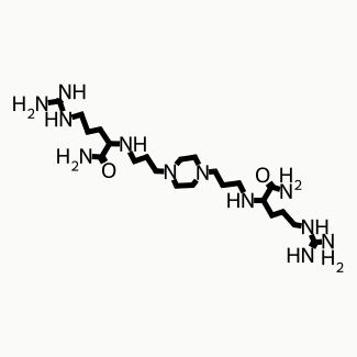 N=C(N)NCCCC(NCCCN1CCN(CCCNC(CCCNC(=N)N)C(N)=O)CC1)C(N)=O